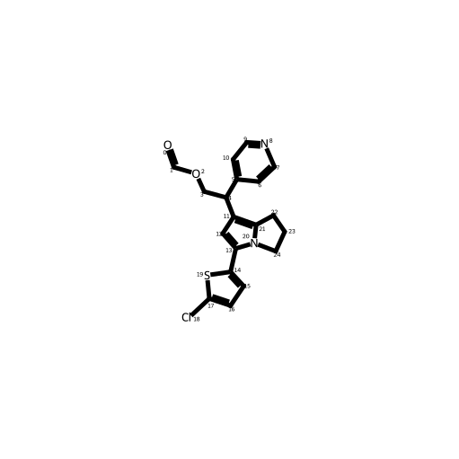 O=COCC(c1ccncc1)c1cc(-c2ccc(Cl)s2)n2c1CCC2